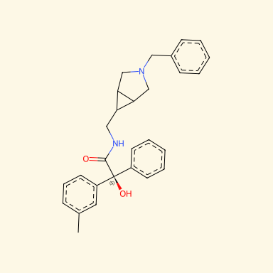 Cc1cccc([C@](O)(C(=O)NCC2C3CN(Cc4ccccc4)CC23)c2ccccc2)c1